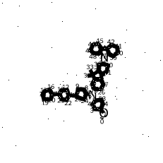 COc1ccc(N(c2ccc(-c3ccc(-c4ccccc4)cc3)cc2)c2ccc3c(c2)C(C)(C)c2cc(-n4c5ccccc5c5ccccc54)ccc2-3)cc1